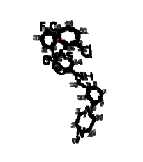 CN1CCN(c2cccc(CNC(=O)C[As](c3cc(C(F)(F)F)ccc3Cl)S(=O)(=O)c3ccccc3)c2)CC1